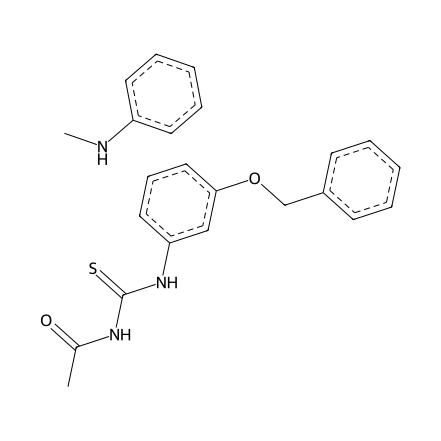 CC(=O)NC(=S)Nc1cccc(OCc2ccccc2)c1.CNc1ccccc1